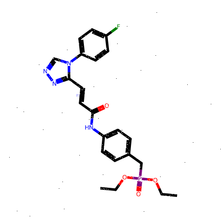 CCOP(=O)(Cc1ccc(NC(=O)/C=C/c2nncn2-c2ccc(F)cc2)cc1)OCC